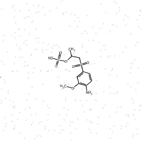 COc1cc(S(=O)(=O)CC(C)OS(=O)(=O)O)ccc1N